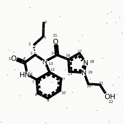 CCC[C@H]1C(=O)Nc2ccccc2N1C(=O)c1cnn(CCO)c1